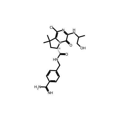 CC(CO)Nc1nc(Cl)c2n(c1=O)[C@H](C(=O)NCc1ccc(C(=N)N)cc1)CC2(C)C